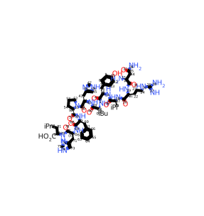 CC[C@H](C)[C@H](NC(=O)[C@H](Cc1ccc(O)cc1)NC(=O)[C@@H](NC(=O)[C@H](CCCNC(=N)N)NC(=O)[C@@H](N)CC(N)=O)C(C)C)C(=O)N[C@@H](Cc1c[nH]cn1)C(=O)N1CCC[C@H]1C(=O)N[C@@H](Cc1ccccc1)C(=O)N[C@@H](Cc1c[nH]cn1)C(=O)N[C@@H](CC(C)C)C(=O)O